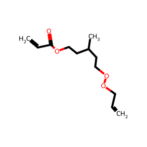 C=CCOOCCC(C)CCOC(=O)C=C